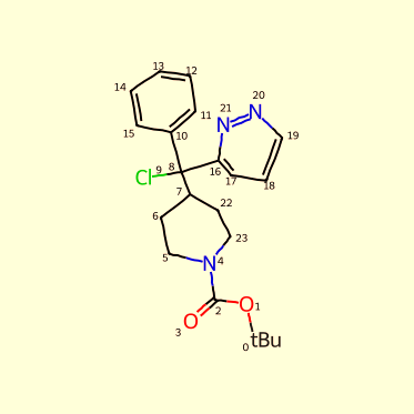 CC(C)(C)OC(=O)N1CCC(C(Cl)(c2ccccc2)c2cccnn2)CC1